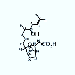 CC(C)=CCC(O)C(C)CCCC1(C)OC(CC(=O)O)C2CCC1O2